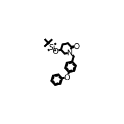 CC(C)(C)[Si](C)(C)OC1CCC(=O)N(Cc2ccc(Oc3ccccc3)cc2)C1